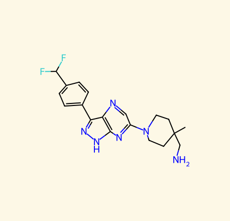 CC1(CN)CCN(c2cnc3c(-c4ccc(C(F)F)cc4)n[nH]c3n2)CC1